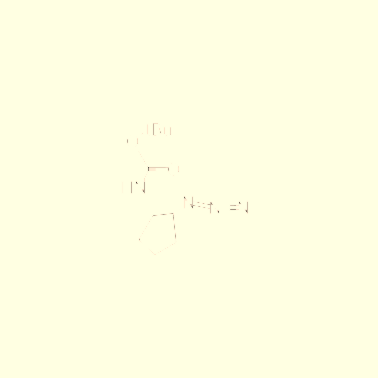 CC(C)(C)OC(=O)N[C@H]1CCC[C@H]1N=[N+]=[N-]